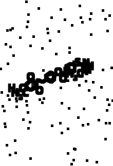 Cn1nnnc1SC1CCN(C(=O)Oc2ccc(CCN3C(=O)CC(C)(C)CC3=O)cc2)CC1